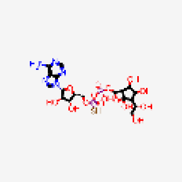 Nc1ncnc2c1ncn2[C@@H]1O[C@H](COP(=O)(S)OP(=O)(O)OC2OC3(O)C2C(O)C(O)C3[C@H](O)CO)[C@@H](O)[C@H]1O